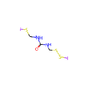 O=C(NCSI)NCSSI